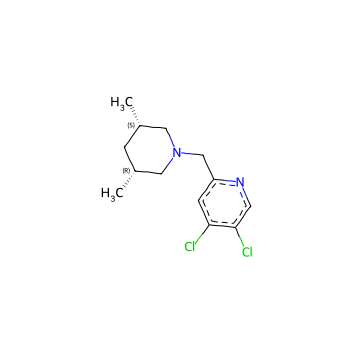 C[C@@H]1C[C@H](C)CN(Cc2cc(Cl)c(Cl)cn2)C1